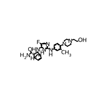 Cc1cc(Nc2ncc(F)c(N[C@H]3[C@@H](C(N)=O)[C@@H]4C=C[C@H]3C4)n2)ccc1N1CCN(CCO)CC1